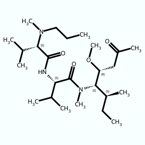 CCCN(C)[C@H](C(=O)N[C@H](C(=O)N(C)[C@@H]([C@@H](C)CC)[C@@H](CC(C)=O)OC)C(C)C)C(C)C